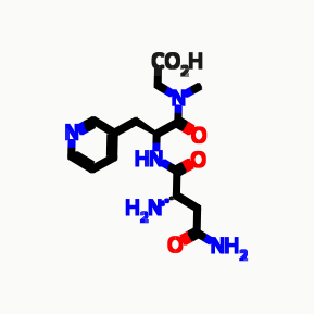 CN(CC(=O)O)C(=O)[C@H](Cc1cccnc1)NC(=O)[C@@H](N)CC(N)=O